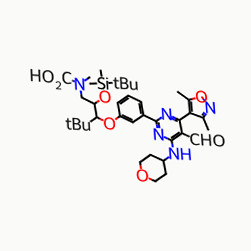 Cc1noc(C)c1-c1nc(-c2cccc(OC(C(CN(C)C(=O)O)O[Si](C)(C)C(C)(C)C)C(C)(C)C)c2)nc(NC2CCOCC2)c1C=O